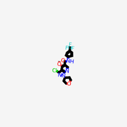 COc1c(C(=O)Nc2ccc(C(F)(F)F)cc2)cnc2c1c(Cl)nn2C1CCOCC1